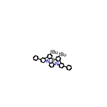 CC(C)(C)c1cc2c3c(c1)C1=CC(c4ccccc4)=CCC1N3c1cccc3c1B2c1cc(C(C)(C)C)cc2c4cc(-c5ccccc5)ccc4n-3c12